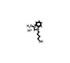 CN1CN(CCCCO)c2ccccc21.I